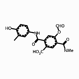 CNC(=O)c1cc(C(=O)O)c(C(=O)Nc2ccc(O)c(C)c2)cc1OC=O